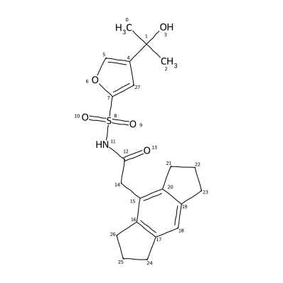 CC(C)(O)c1coc(S(=O)(=O)NC(=O)Cc2c3c(cc4c2CCC4)CCC3)c1